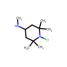 CNC1CC(C)(C)N(Cl)C(C)(C)C1